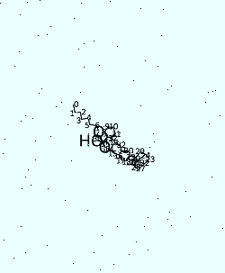 CCCCCCCOc1cccc(-c2ccc3ccc(C45CC6CC(CC(C6)C4)C5)cc3c2)c1C(=O)O